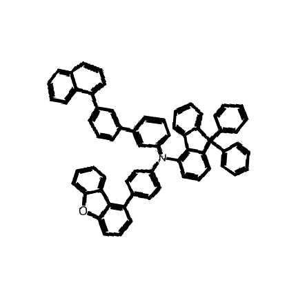 c1ccc(C2(c3ccccc3)c3ccccc3-c3c(N(c4ccc(-c5cccc6oc7ccccc7c56)cc4)c4cccc(-c5cccc(-c6cccc7ccccc67)c5)c4)cccc32)cc1